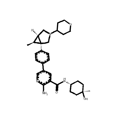 C[C@H]1[C@H]2CN(C3CCOCC3)C[C@]21c1ccc(-c2cnc(N)c(C(=O)N[C@H]3CC[C@](C)(O)CC3)c2)cc1